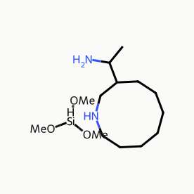 CC(N)C1CCCCCCCNC1.CO[SiH](OC)OC